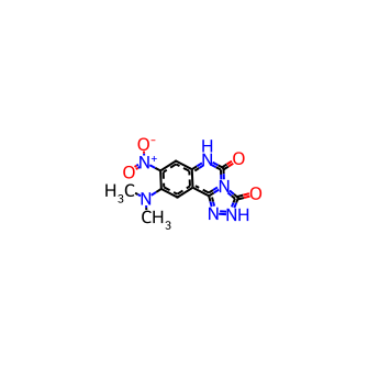 CN(C)c1cc2c(cc1[N+](=O)[O-])[nH]c(=O)n1c(=O)[nH]nc21